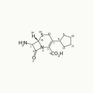 NC1C(=O)N2C(C(=O)O)=C(C3CCCC3)CS[C@@H]12